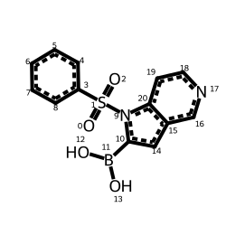 O=S(=O)(c1ccccc1)n1c(B(O)O)cc2cnccc21